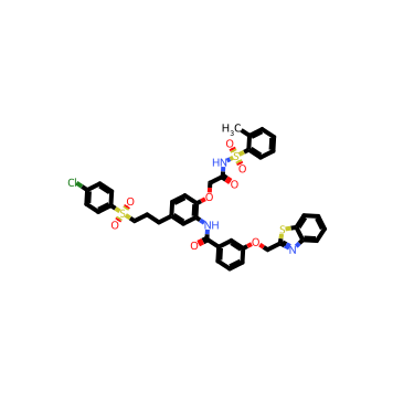 Cc1ccccc1S(=O)(=O)NC(=O)COc1ccc(CCCS(=O)(=O)c2ccc(Cl)cc2)cc1NC(=O)c1cccc(OCc2nc3ccccc3s2)c1